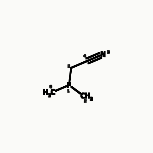 CP(C)CC#N